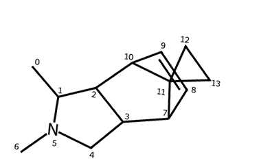 CC1C2C(CN1C)C1C=CC2C12CC2